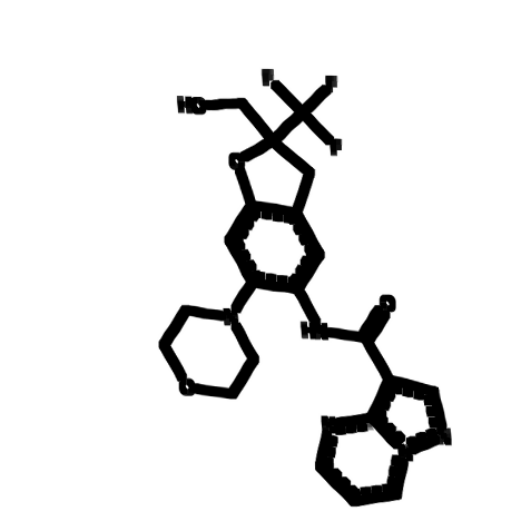 O=C(Nc1cc2c(cc1N1CCOCC1)OC(CO)(C(F)(F)F)C2)c1cnn2cccnc12